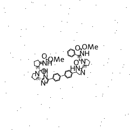 COC(=O)N[C@@H](C(=O)N1CCC[C@H]1C1=NCC(c2ccc(-c3ccc(-c4cnc([C@@H]5CCCN5C(=O)[C@@H]5CCC[C@H]5NC(=O)OC)[nH]4)cc3)cc2)N1)c1ccccc1